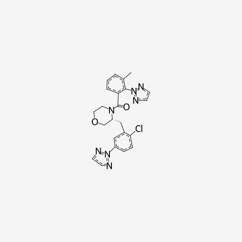 Cc1cccc(C(=O)N2CCOC[C@H]2Cc2cc(-n3nccn3)ccc2Cl)c1-n1nccn1